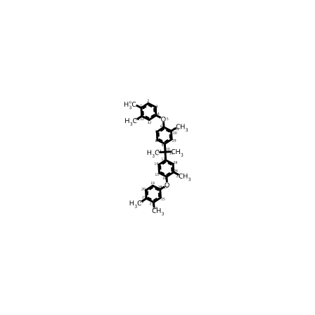 Cc1ccc(Oc2ccc(C(C)(C)c3ccc(Oc4ccc(C)c(C)c4)c(C)c3)cc2C)cc1C